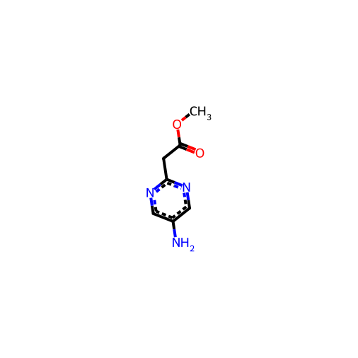 COC(=O)Cc1ncc(N)cn1